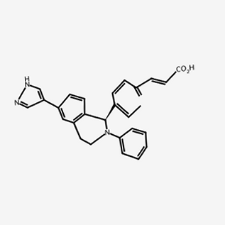 C=C(/C=C\C(=C/C)[C@@H]1c2ccc(-c3cn[nH]c3)cc2CCN1c1ccccc1)/C=C/C(=O)O